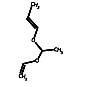 C=COC(C)OC=CC